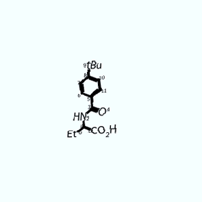 [CH2]CC(NC(=O)c1ccc(C(C)(C)C)cc1)C(=O)O